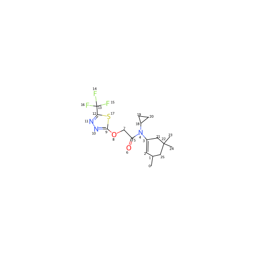 CC1C=C(N(C(=O)COc2nnc(C(F)(F)F)s2)C2CC2)CC(C)(C)C1